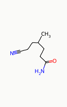 CC(CCC#N)CCC(N)=O